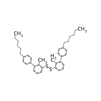 CCCCCCc1ccc(-c2cccc(SSc3cccc(-c4ccc(CCCCCC)cc4)c3C)c2C)cc1